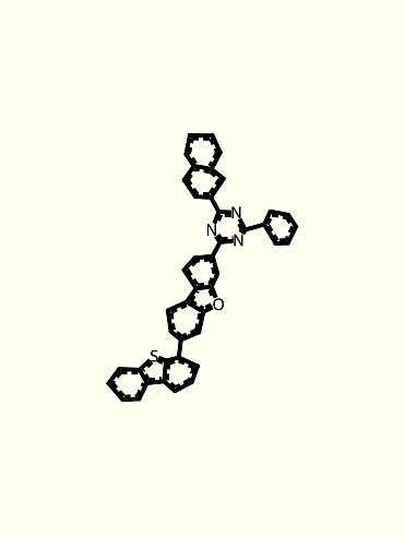 c1ccc(-c2nc(-c3ccc4ccccc4c3)nc(-c3ccc4c(c3)oc3cc(-c5cccc6c5sc5ccccc56)ccc34)n2)cc1